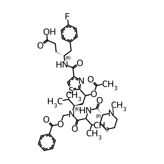 CC(=O)OC(C[C@H](C(C)C)N(COC(=O)c1ccccc1)C(=O)C(NC(=O)[C@H]1CCCCN1C)C(C)C)c1nc(C(=O)N[C@H](CCC(=O)O)Cc2ccc(F)cc2)cs1